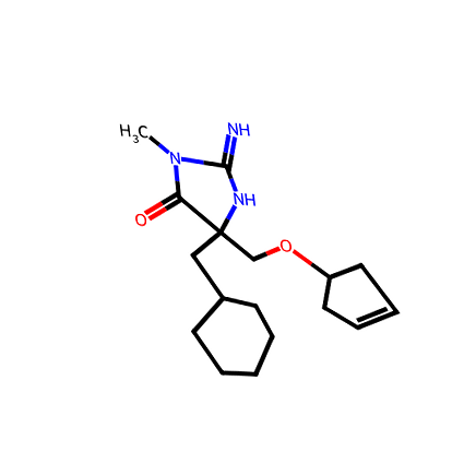 CN1C(=N)NC(COC2CC=CC2)(CC2CCCCC2)C1=O